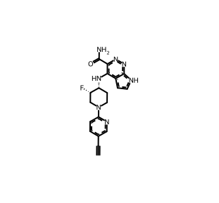 C#Cc1ccc(N2CC[C@@H](Nc3c(C(N)=O)nnc4[nH]ccc34)[C@@H](F)C2)nc1